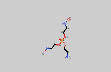 NCCOP(=O)(OCCNO)OCCNO